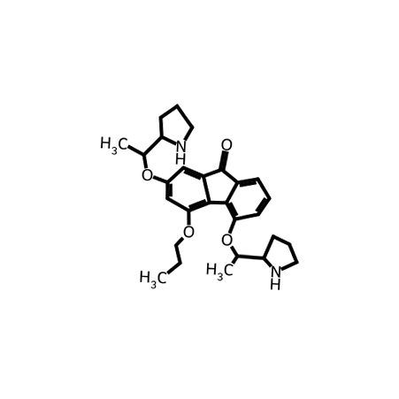 CCCOc1cc(OC(C)C2CCCN2)cc2c1-c1c(OC(C)C3CCCN3)cccc1C2=O